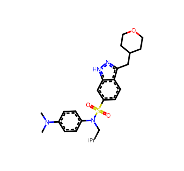 CC(C)CN(c1ccc(N(C)C)cc1)S(=O)(=O)c1ccc2c(CC3CCOCC3)n[nH]c2c1